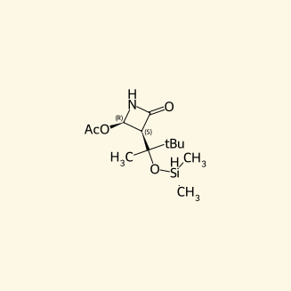 CC(=O)O[C@H]1NC(=O)[C@H]1C(C)(O[SiH](C)C)C(C)(C)C